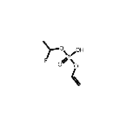 C=COP(=O)(O)OC(C)F